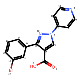 O=C(O)c1cn(-c2ccncc2)nc1-c1cccc(Br)c1